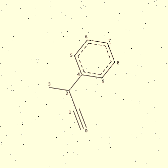 C#CC(C)c1cc[c]cc1